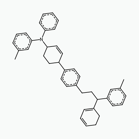 Cc1cccc(C(CCc2ccc(C3C=CC(N(c4ccccc4)c4cccc(C)c4)CC3)cc2)C2=CC=CCC2)c1